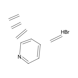 Br.C=C.C=C.C=C.C=C.c1ccncc1